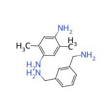 Cc1cc(N)c(C)cc1N.NCc1cccc(CN)c1